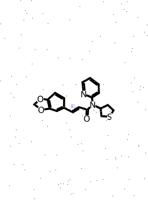 O=C(/C=C/c1ccc2c(c1)OCO2)N(c1ccccn1)C1CCSC1